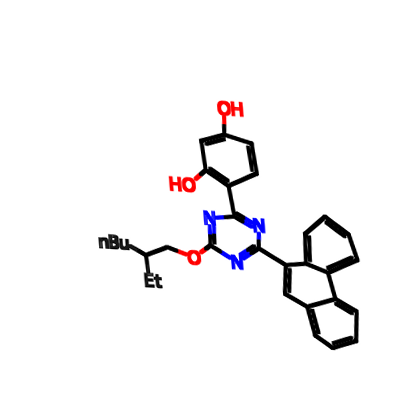 CCCCC(CC)COc1nc(-c2ccc(O)cc2O)nc(-c2cc3ccccc3c3ccccc23)n1